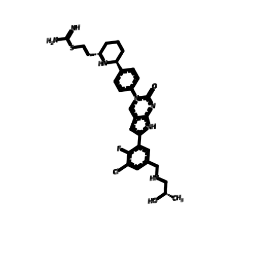 C[C@H](O)CNCc1cc(Cl)c(F)c(-c2cc3cn(-c4ccc([C@@H]5CCC[C@@H](CCSC(=N)N)N5)cc4)c(=O)nc3[nH]2)c1